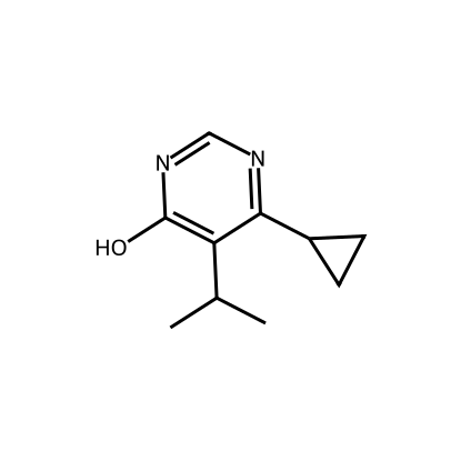 CC(C)c1c(O)ncnc1C1CC1